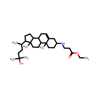 CCOC(=O)CCNC1CCC2(C)C(=CCC3C2CCC2(C)C(C(C)CCC(C)(C)O)CCC32)C1